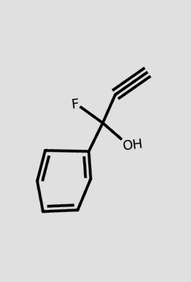 C#CC(O)(F)c1ccccc1